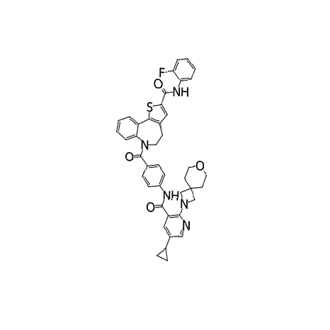 O=C(Nc1ccccc1F)c1cc2c(s1)-c1ccccc1N(C(=O)c1ccc(NC(=O)c3cc(C4CC4)cnc3N3CC4(CCOCC4)C3)cc1)CC2